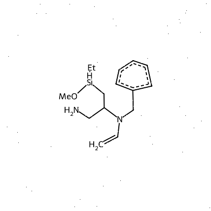 C=CN(Cc1ccccc1)C(CN)C[SiH](CC)OC